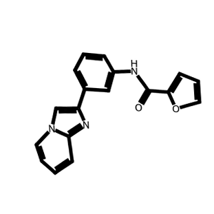 O=C(Nc1cccc(-c2cn3ccccc3n2)c1)c1ccco1